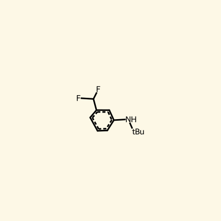 CC(C)(C)Nc1cccc(C(F)F)c1